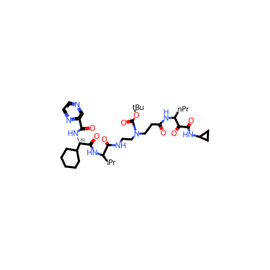 CCCC(NC(=O)CCN(CCNC(=O)C(NC(=O)[C@@H](NC(=O)c1cnccn1)C1CCCCC1)C(C)C)C(=O)OC(C)(C)C)C(=O)C(=O)NC1CC1